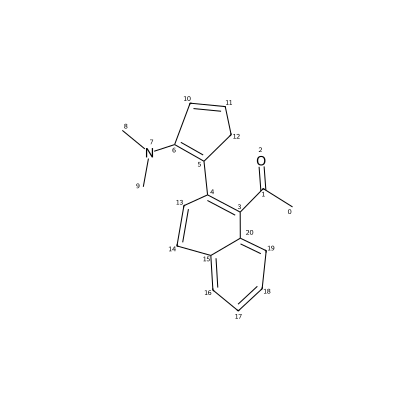 CC(=O)c1c(C2=C(N(C)C)C=CC2)ccc2ccccc12